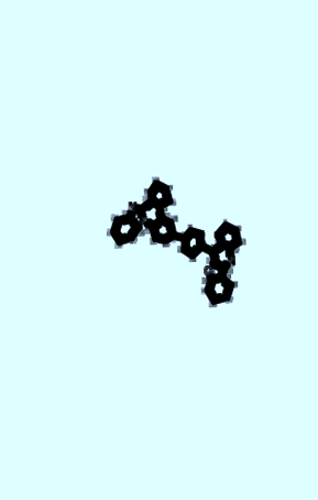 c1ccc2c(-c3ccc(-c4ccc5c(c4)c4ccccc4c4nc6ccccc6n54)cc3)c3oc4ccccc4c3nc2c1